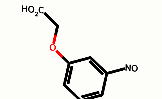 O=Nc1cccc(OCC(=O)O)c1